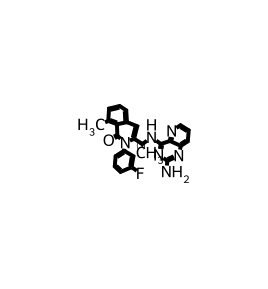 Cc1cccc2cc([C@H](C)Nc3nc(N)nc4cccnc34)n(-c3cccc(F)c3)c(=O)c12